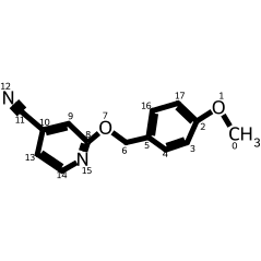 COc1ccc(COc2cc(C#N)ccn2)cc1